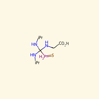 CC(C)NC(NCC(=O)O)(NC(C)C)[PH2]=S